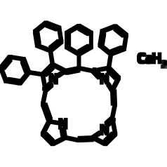 C1=CC2=NC1=CC1=NC(=C(c3ccccc3)C3=NC(=CC4=NC(=C2)C=C4)C=C3c2ccccc2)C(c2ccccc2)=C1c1ccccc1.[CaH2]